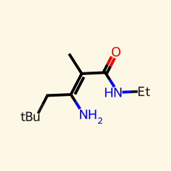 CCNC(=O)C(C)=C(N)CC(C)(C)C